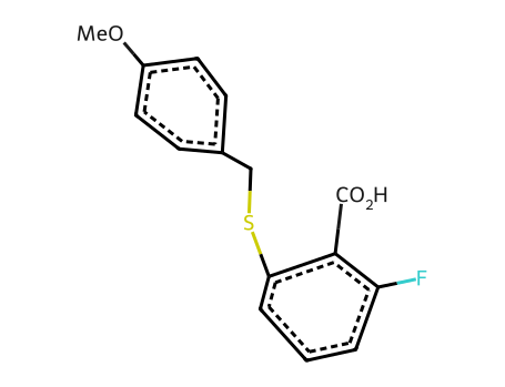 COc1ccc(CSc2cccc(F)c2C(=O)O)cc1